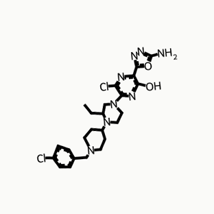 CCC1CN(c2nc(O)c(-c3nnc(N)o3)nc2Cl)CCN1C1CCN(Cc2ccc(Cl)cc2)CC1